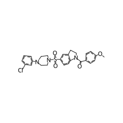 COc1ccc(C(=O)N2CCc3cc(S(=O)(=O)N4CCN(c5cccc(Cl)c5)CC4)ccc32)cc1